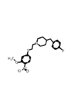 COc1cc(SCCN2CCC(Cc3ccc(F)cc3)CC2)ccc1[N+](=O)[O-]